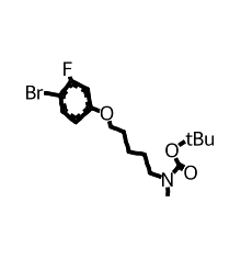 CN(CCCCCOc1ccc(Br)c(F)c1)C(=O)OC(C)(C)C